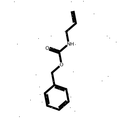 C=C[CH]NC(=O)OCc1ccccc1